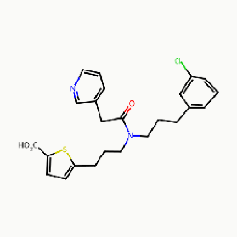 O=C(O)c1ccc(CCCN(CCCc2cccc(Cl)c2)C(=O)Cc2cccnc2)s1